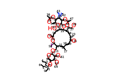 CC[Si](CC)(CC)OC1=CO[C@@H](OCC2/C=C(C)/C=C/C(=O)[C@H](C)C[C@H](CC=O)[C@H](O[C@@H]3OC(C)[C@@H](OC(C)=O)C(N(C)C)C3OC(C)=O)[C@@H](C)[C@H](O)CC(=O)O[C@@H]2I)C(OC)C1OC